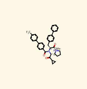 COC(=O)[C@H](Cc1ccc(-c2ccccc2)cc1)N(C(=O)c1ccc(-c2ccc(C(F)(F)F)cc2)cc1)C(C(=O)C1CC1)[C@H]1CCCN1